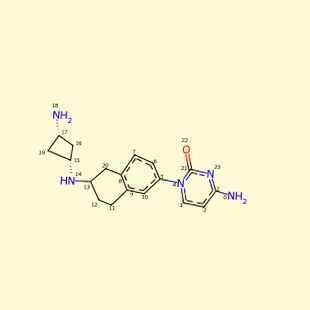 Nc1ccn(-c2ccc3c(c2)CCC(N[C@H]2C[C@@H](N)C2)C3)c(=O)n1